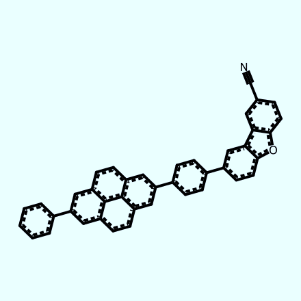 N#Cc1ccc2oc3ccc(-c4ccc(-c5cc6ccc7cc(-c8ccccc8)cc8ccc(c5)c6c78)cc4)cc3c2c1